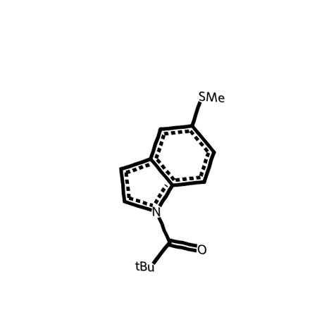 CSc1ccc2c(ccn2C(=O)C(C)(C)C)c1